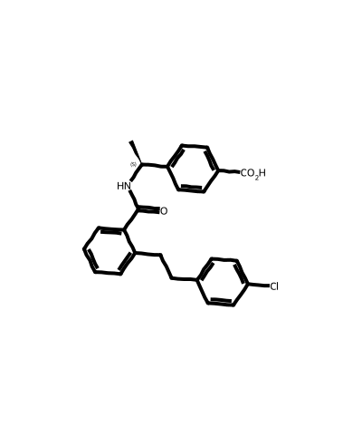 C[C@H](NC(=O)c1ccccc1CCc1ccc(Cl)cc1)c1ccc(C(=O)O)cc1